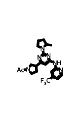 CC(=O)N1CCC(c2cc(Nc3cc(C(F)(F)F)ccn3)nc(N3CCCC3C)n2)C1